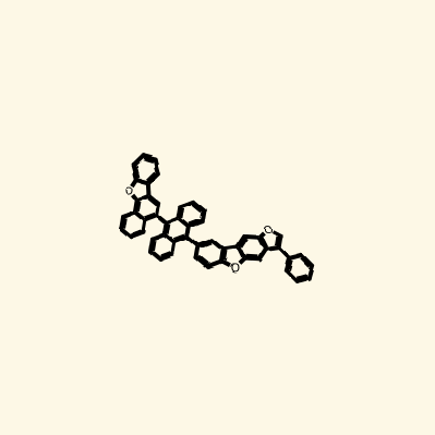 c1ccc(-c2coc3cc4c(cc23)oc2ccc(-c3c5ccccc5c(-c5cc6c7ccccc7oc6c6ccccc56)c5ccccc35)cc24)cc1